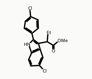 CCC(C(=O)OC)c1c(-c2ccc(Cl)cc2)[nH]c2ccc(Cl)cc12